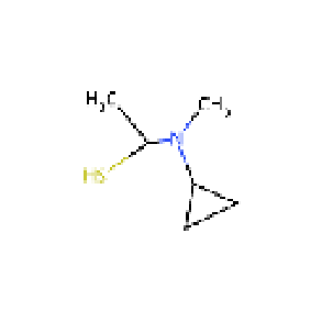 CC(S)N(C)C1CC1